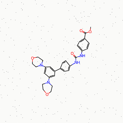 COC(=O)c1ccc(NC(=O)Nc2ccc(-c3cc(N4CCOCC4)cc(N4CCOCC4)c3)cc2)cc1